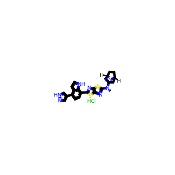 CN(c1nc2sc(-c3ccc(-c4cn[nH]c4)c4cc[nH]c34)nc2s1)C1C[C@H]2CC[C@@H](C1)N2.Cl